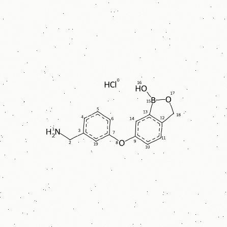 Cl.NCc1cccc(Oc2ccc3c(c2)B(O)OC3)c1